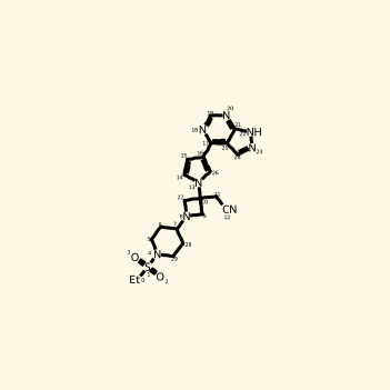 CCS(=O)(=O)N1CCC(N2CC(CC#N)(n3ccc(-c4ncnc5[nH]ncc45)c3)C2)CC1